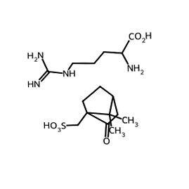 CC1(C)C2CCC1(CS(=O)(=O)O)C(=O)C2.N=C(N)NCCCC(N)C(=O)O